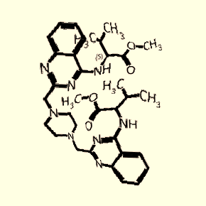 COC(=O)C(Nc1nc(CN2CCN(Cc3nc(N[C@H](C(=O)OC)C(C)C)c4ccccc4n3)CC2)nc2ccccc12)C(C)C